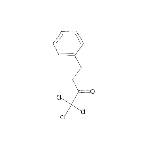 O=C(CCc1ccccc1)C(Cl)(Cl)Cl